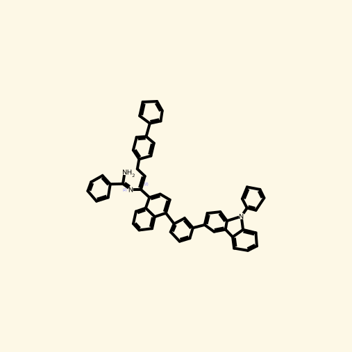 N/C(=N\C(=C/Cc1ccc(-c2ccccc2)cc1)c1ccc(-c2cccc(-c3ccc4c(c3)c3ccccc3n4-c3ccccc3)c2)c2ccccc12)c1ccccc1